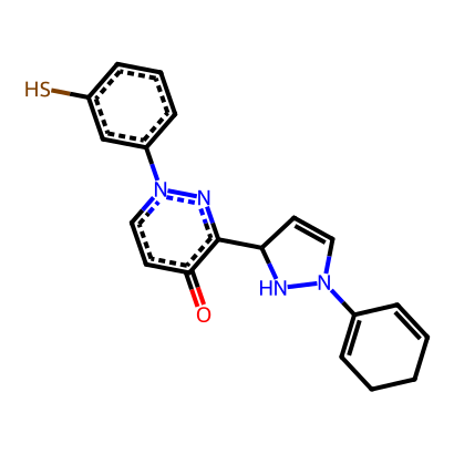 O=c1ccn(-c2cccc(S)c2)nc1C1C=CN(C2=CCCC=C2)N1